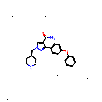 NC(=O)c1cn(CC2CCNCC2)nc1-c1ccc(Oc2ccccc2)cc1